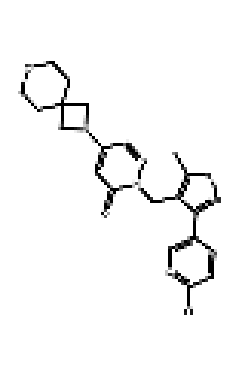 Cc1onc(-c2ccc(Cl)nc2)c1Cn1ncc(N2CC3(CCOCC3)C2)cc1=O